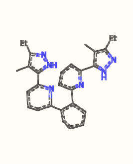 CCc1n[nH]c(-c2cccc(-c3ccccc3-c3cccc(-c4[nH]nc(CC)c4C)n3)n2)c1C